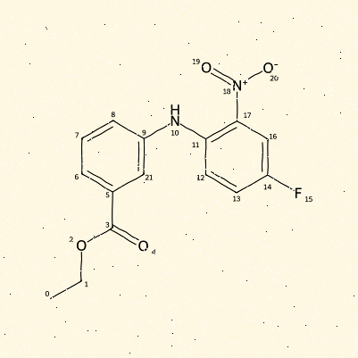 CCOC(=O)c1cccc(Nc2ccc(F)cc2[N+](=O)[O-])c1